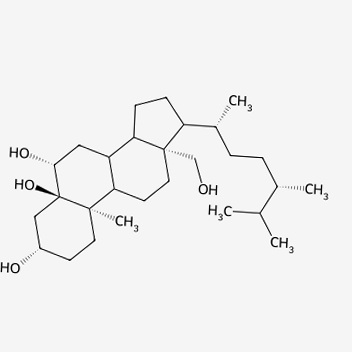 CC(C)[C@@H](C)CC[C@@H](C)C1CCC2C3C[C@@H](O)[C@@]4(O)C[C@@H](O)CC[C@]4(C)C3CC[C@@]21CO